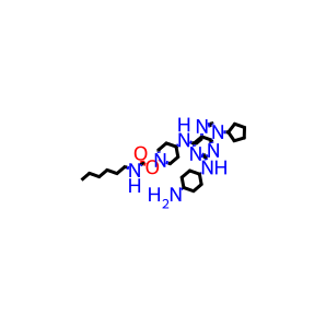 CCCCCCNC(=O)ON1CCC(Nc2nc(N[C@H]3CC[C@H](N)CC3)nc3c2ncn3C2CCCC2)CC1